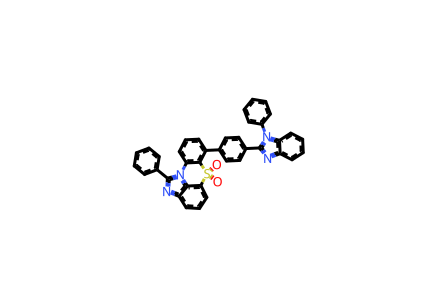 O=S1(=O)c2c(-c3ccc(-c4nc5ccccc5n4-c4ccccc4)cc3)cccc2-n2c(-c3ccccc3)nc3cccc1c32